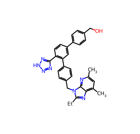 CCc1nc2c(C)cc(C)nc2n1Cc1ccc(-c2cc(-c3ccc(CO)cc3)ccc2-c2nn[nH]n2)cc1